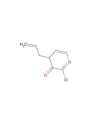 C=CCC1C=CN=C([O])C1=O